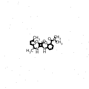 Cc1ccc([C@@H](C)Nc2c(Nc3cccc(C(=O)N(C)C)c3O)c(=O)c2=O)s1